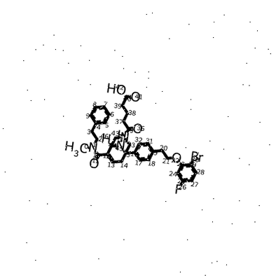 CN(CCc1ccccc1)C(=O)C1=CCC2(c3ccc(CCOc4cc(F)ccc4Br)cc3)CN(C(=O)CCCC(=O)O)C[C@H]1N2